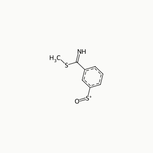 CSC(=N)c1cccc([S+]=O)c1